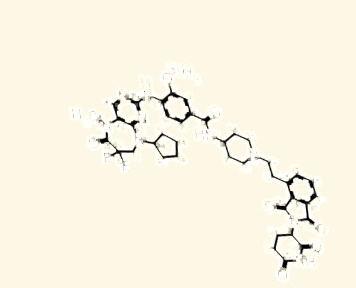 COc1cc(C(=O)NC2CCN(CCc3cccc4c3C(=O)N(C3CCC(=O)NC3=O)C4=O)CC2)ccc1Nc1ncc2c(n1)N(C1CCCC1)CC(F)(F)C(=O)N2C